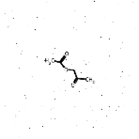 [CH2]C(=O)OCC(C)=O